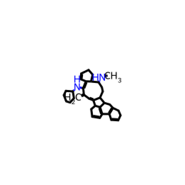 C=C1/C=C2/C3CC=CC4=C3C(CC3=C4C=CCC3)C2CCC(NC)C2CCC=C/C2=C/1NC1CCCCC1